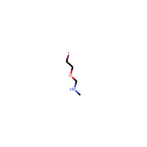 CNCOCCI